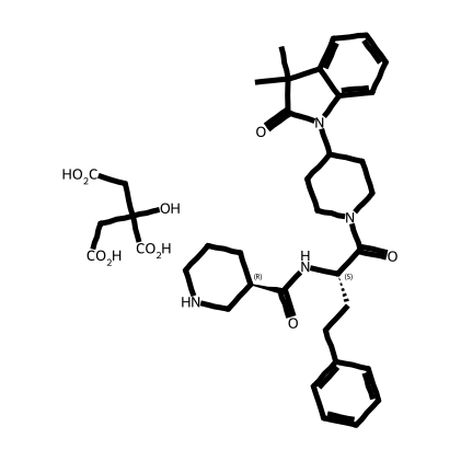 CC1(C)C(=O)N(C2CCN(C(=O)[C@H](CCc3ccccc3)NC(=O)[C@@H]3CCCNC3)CC2)c2ccccc21.O=C(O)CC(O)(CC(=O)O)C(=O)O